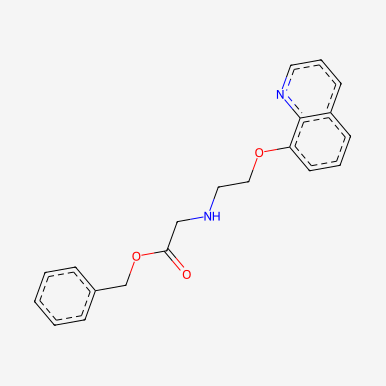 O=C(CNCCOc1cccc2cccnc12)OCc1ccccc1